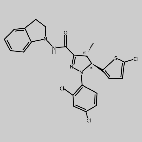 C[C@H]1C(C(=O)NN2CCc3ccccc32)=NN(c2ccc(Cl)cc2Cl)[C@@H]1c1ccc(Cl)s1